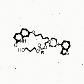 O=c1ccc2ccc(OCCCC[N+]3(COP(=O)([O-])OCCCO)CCN(c4cccc5sccc45)CC3)cc2[nH]1